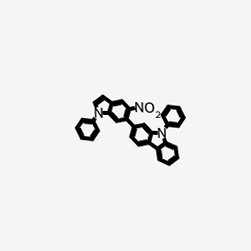 O=[N+]([O-])c1cc2ccn(-c3ccccc3)c2cc1-c1ccc2c3ccccc3n(-c3ccccc3)c2c1